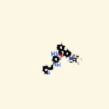 CN(C)c1ccc(-c2ccccc2C(=O)Nc2ccc(NCCc3ccccn3)cc2)cc1